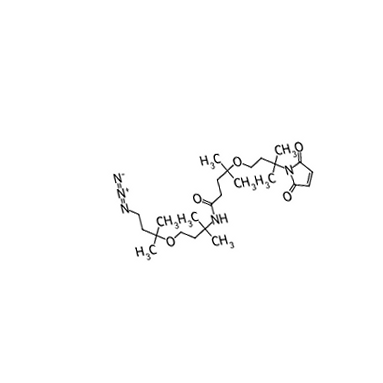 CC(C)(CCOC(C)(C)CCN=[N+]=[N-])NC(=O)CCC(C)(C)OCCC(C)(C)N1C(=O)C=CC1=O